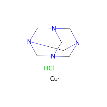 C1N2CN3CN1CN(C2)C3.Cl.[Cu]